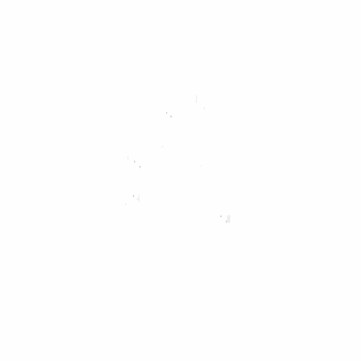 CCNc1cnnc(NCC)c1